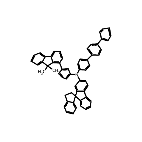 CC1(C)c2ccccc2-c2cccc(-c3cccc(N(c4ccc(-c5ccc(-c6ccccc6)cc5)cc4)c4ccc5c(c4)C4(CCc6ccccc64)c4ccccc4-5)c3)c21